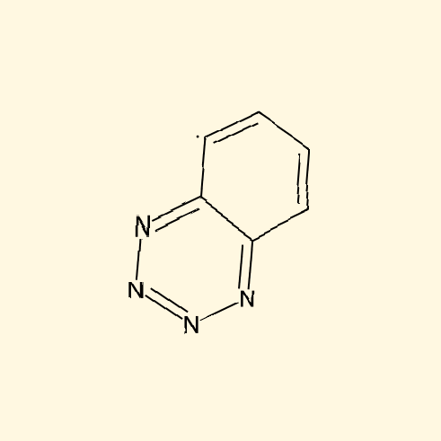 [c]1cccc2nnnnc12